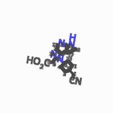 N#CC[C@H]1CC[C@H](n2c(CC(=O)O)nc3cnc4[nH]ccc4c32)CC1